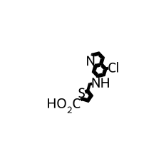 O=C(O)c1ccc(CNc2cc(Cl)c3cccnc3c2)s1